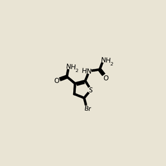 NC(=O)NC1=C(C(N)=O)CC(Br)S1